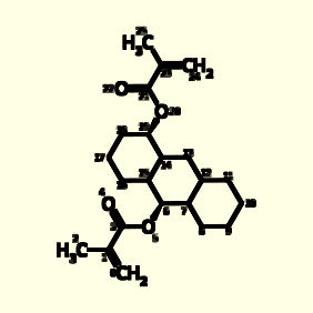 C=C(C)C(=O)O[C@@H]1C2CCCCC2CC2C1CCC[C@H]2OC(=O)C(=C)C